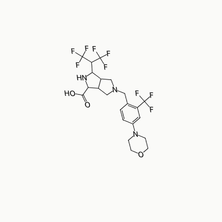 O=C(O)C1NC(C(C(F)(F)F)C(F)(F)F)C2CN(Cc3ccc(N4CCOCC4)cc3C(F)(F)F)CC12